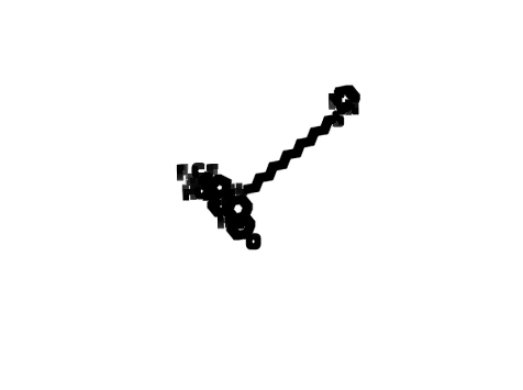 C[C@]12CCC(=O)C=C1C[C@@H](CCCCCCCCCCCCCSc1ncccn1)[C@@H]1[C@@H]2CC[C@@]2(C)[C@H]1CC[C@@]2(O)C(F)(F)C(F)(F)F